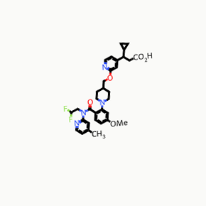 COc1ccc(C(=O)N(CC(F)F)c2cc(C)ccn2)c(N2CCC(COc3cc(C(CC(=O)O)C4CC4)ccn3)CC2)c1